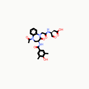 CC(=O)N1C[C@H](NC(=O)c2cc(C)c(O)c(C)c2)C(=O)N(CC(=O)N[C@H](C=O)CC(=O)O)c2ccccc21